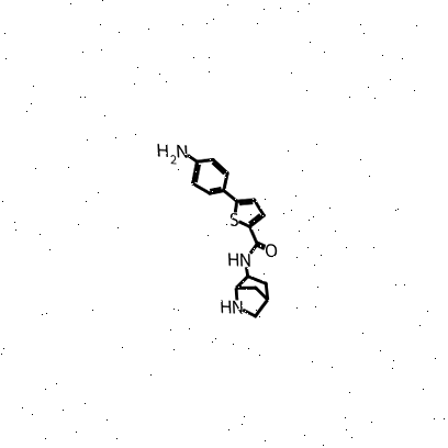 Nc1ccc(-c2ccc(C(=O)NC3CC4CNC3C4)s2)cc1